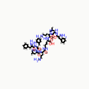 CC(C)C[C@@H](NC(=O)[C@H](N)Cc1ccccc1)C(=O)N[C@H](CCCN)C(=O)N[C@@H](CCCCNC(=O)[C@@H](CCCN)NC(=O)[C@@H](CC(C)C)NC(=O)[C@@H](Cc1ccccc1)NC(=O)[C@H](N)Cc1ccccc1)C(=O)O